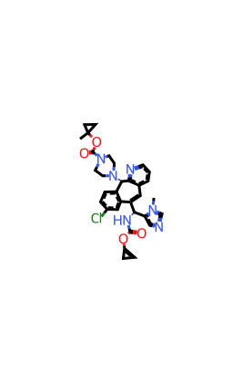 Cn1cncc1[C@H](NC(=O)OC1=CC1)C1=Cc2cccnc2[C@@H](N2CCN(C(=O)OC3(C)CC3)CC2)c2ccc(Cl)cc21